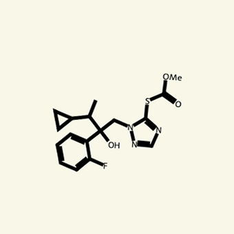 COC(=O)Sc1ncnn1CC(O)(c1ccccc1F)C(C)C1CC1